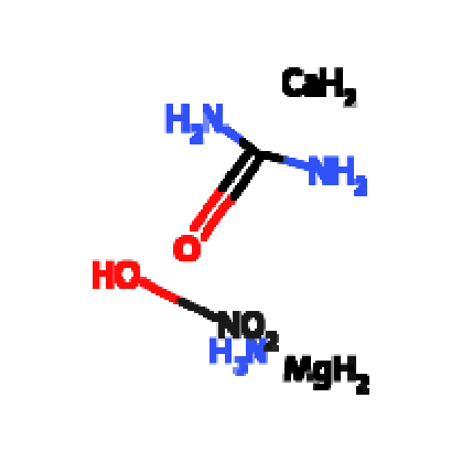 N.NC(N)=O.O=[N+]([O-])O.[CaH2].[MgH2]